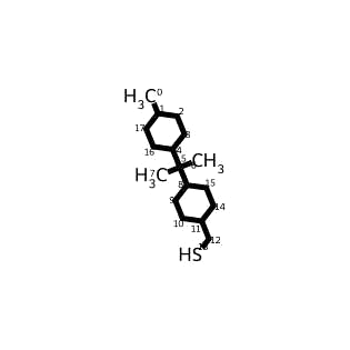 CC1CCC(C(C)(C)C2CCC(CS)CC2)CC1